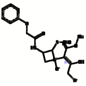 CC(C)(C)OC(=O)/C(=C(\O)CBr)[N+]1([O-])CC(NC(=O)COc2ccccc2)C1SC=O